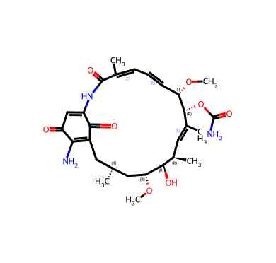 CO[C@H]1/C=C/C=C(/C)C(=O)NC2=CC(=O)C(N)=C(C[C@@H](C)C[C@@H](OC)[C@H](O)[C@H](C)/C=C(\C)[C@H]1OC(N)=O)C2=O